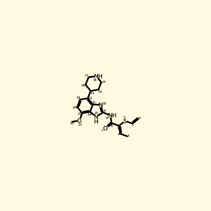 C=CS/C(=C\C)C(=O)Nc1nc2c(C3CCNCC3)ccc(OC)c2[nH]1